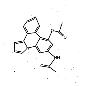 CC(=O)Nc1cc(OC(C)=O)c2c3ccccc3c3cccn3c2c1